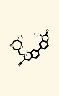 C[C@@H]1CNCC(CN[C@H](C#N)Cc2ccc(-c3ccc4oc(=O)n(C)c4c3)cc2F)OC1